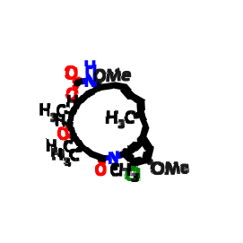 COc1cc2cc(c1Cl)N(C)C(=O)CC(C)[C@]1(C)O[C@H]1[C@H](C)[C@@H]1C[C@](OC)(C/C=C/C=C(\C)C2)NC(=O)O1